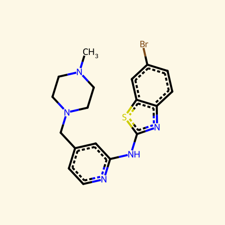 CN1CCN(Cc2ccnc(Nc3nc4ccc(Br)cc4s3)c2)CC1